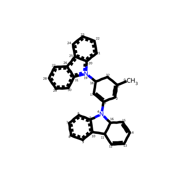 CC1=CC(N2c3ccccc3C3C=CC=CC32)=CC(n2c3ccccc3c3ccccc32)C1